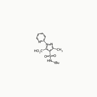 Cc1nn(-c2ccccn2)c(C(=O)O)c1S(=O)(=O)NC(C)(C)C